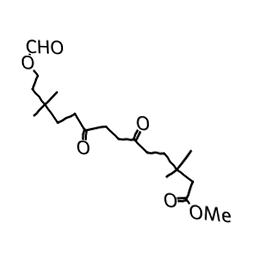 COC(=O)CC(C)(C)CCC(=O)CCC(=O)CCC(C)(C)CCOC=O